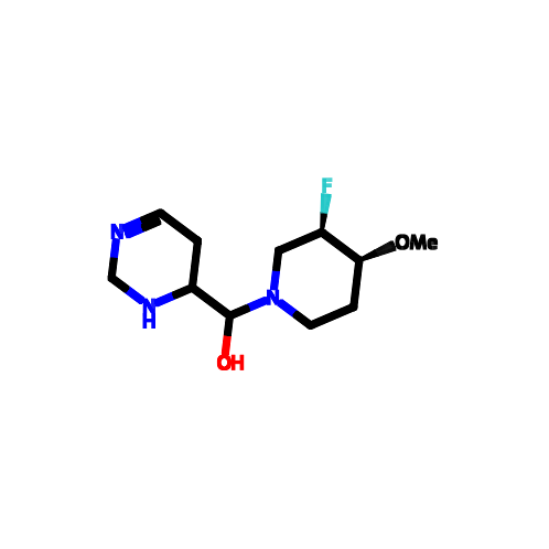 CO[C@H]1CCN(C(O)C2CC=NCN2)C[C@H]1F